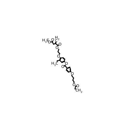 C=CC(=O)OCCCCOc1ccc(C(=O)Oc2ccc(OCCCOC(=O)C(=C)CC(=O)OC)c(CC)c2)cc1